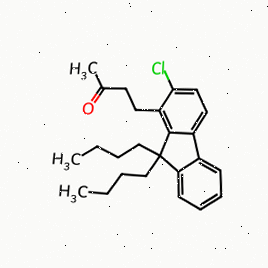 CCCCC1(CCCC)c2ccccc2-c2ccc(Cl)c(CCC(C)=O)c21